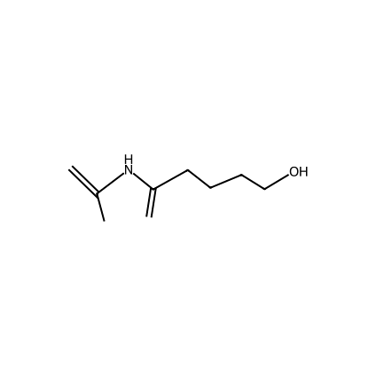 C=C(C)NC(=C)CCCCO